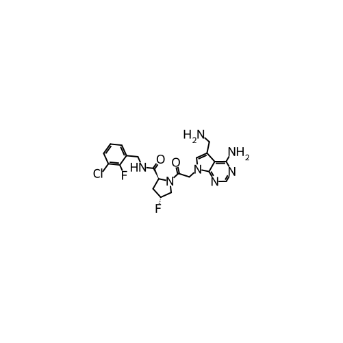 NCc1cn(CC(=O)N2C[C@H](F)C[C@H]2C(=O)NCc2cccc(Cl)c2F)c2ncnc(N)c12